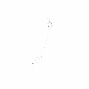 COc1cc(COCCOCCOCCOCCN2CCN(C(=O)OC(C)(C)C)CC2)ccc1CO